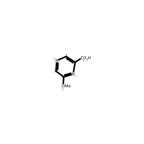 COc1cncc(C(=O)O)n1